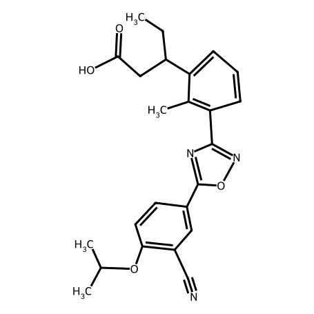 CCC(CC(=O)O)c1cccc(-c2noc(-c3ccc(OC(C)C)c(C#N)c3)n2)c1C